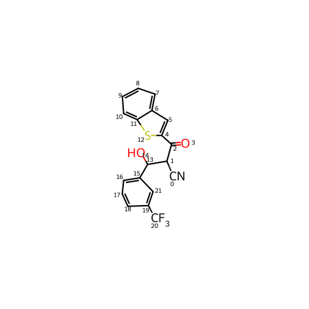 N#CC(C(=O)c1cc2ccccc2s1)C(O)c1cccc(C(F)(F)F)c1